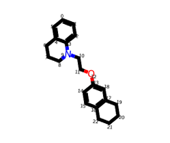 c1ccc2c(c1)CCCN2CCOc1ccc2c(c1)CCCC2